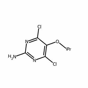 CC(C)Oc1c(Cl)nc(N)nc1Cl